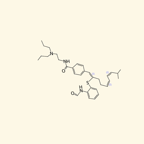 CCCN(CCC)CCNC(=O)c1ccc(/C=C(/CC/C=C\C=C/C(C)C)Sc2ccccc2NC=O)cc1